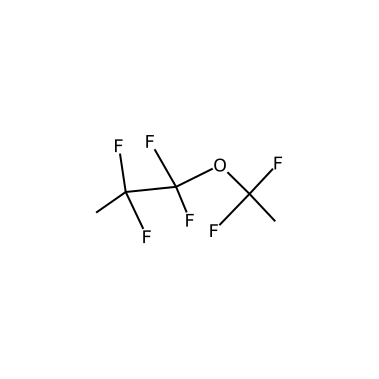 CC(F)(F)OC(F)(F)C(C)(F)F